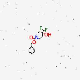 O=C(OCc1ccccc1)N1CCC(O)(C(F)F)CC1